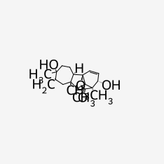 C=C1C[C@]2(C)[C@@H](CCC1(C)O)[C@@]13C=C[C@H](O)[C@@](C)(C(=O)O1)C3[C@@H]2C